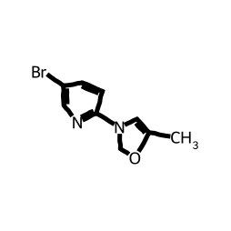 CC1=CN(c2ccc(Br)cn2)CO1